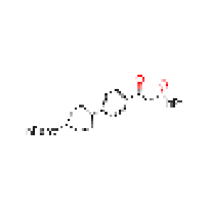 CCCCCC1CCC(c2ccc(C(=O)CC(=O)CCC)cc2)CC1